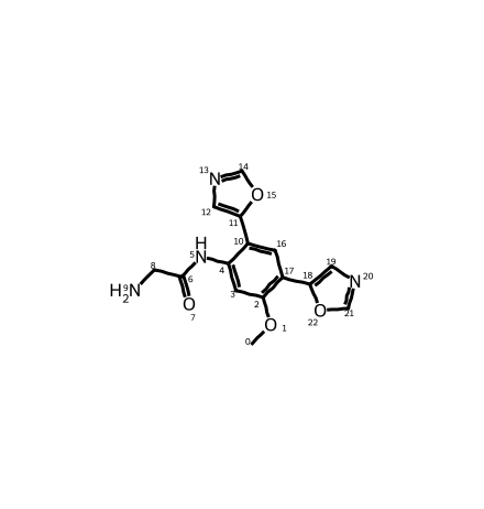 COc1cc(NC(=O)CN)c(-c2cnco2)cc1-c1cnco1